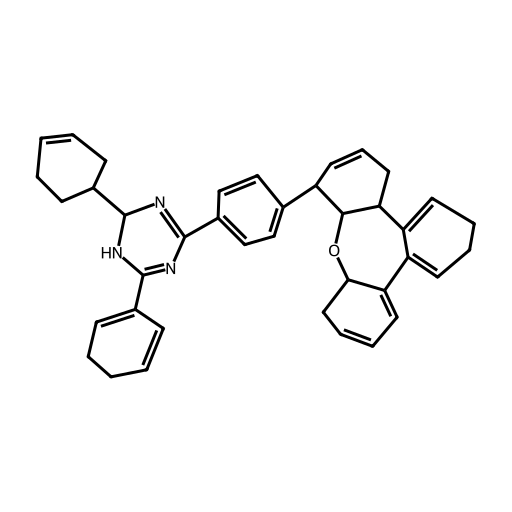 C1=CCC2OC3C(CC=CC3c3ccc(C4=NC(C5CC=CCC5)NC(C5=CCCC=C5)=N4)cc3)C3=CCCC=C3C2=C1